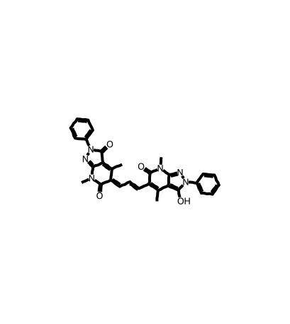 Cc1c2c(n(C)c(=O)/c1=C/C=Cc1c(C)c3c(O)n(-c4ccccc4)nc3n(C)c1=O)=NN(c1ccccc1)C2=O